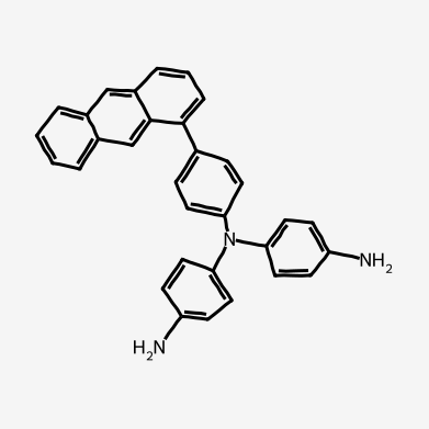 Nc1ccc(N(c2ccc(N)cc2)c2ccc(-c3cccc4cc5ccccc5cc34)cc2)cc1